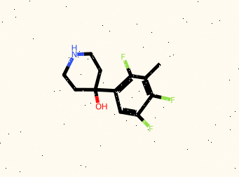 Cc1c(F)c(F)cc(C2(O)CCNCC2)c1F